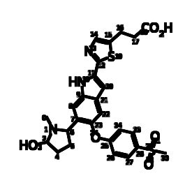 CN1C(O)CCC1c1cc2[nH]c(-c3ncc(CCC(=O)O)s3)cc2cc1Oc1ccc(S(C)(=O)=O)cc1